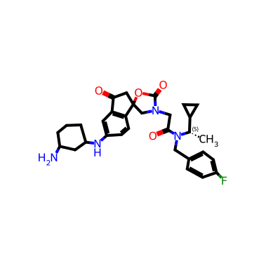 C[C@@H](C1CC1)N(Cc1ccc(F)cc1)C(=O)CN1CC2(CC(=O)c3cc(NC4CCCC(N)C4)ccc32)OC1=O